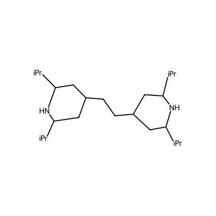 CC(C)C1CC(CCC2CC(C(C)C)NC(C(C)C)C2)CC(C(C)C)N1